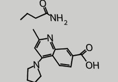 CCCC(N)=O.Cc1cc(N2CCCC2)c2ccc(C(=O)O)cc2n1